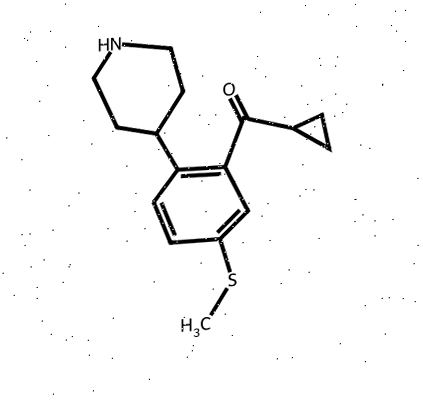 CSc1ccc(C2CCNCC2)c(C(=O)C2CC2)c1